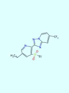 C=Cc1cnc(-c2nc3cc(C(F)(F)F)ccn3n2)c(S(=O)(=O)CC)c1